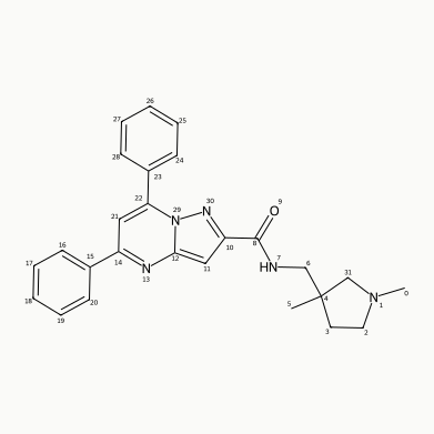 CN1CCC(C)(CNC(=O)c2cc3nc(-c4ccccc4)cc(-c4ccccc4)n3n2)C1